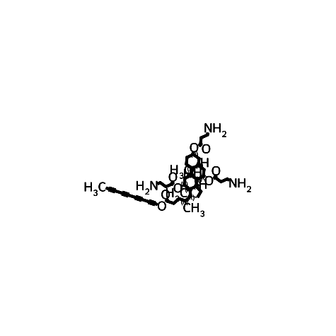 CC#CC#CC#CC#COC(=O)CC[C@@H](C)[C@H]1CC[C@H]2[C@@H]3[C@H](OC(=O)CCN)C[C@@H]4C[C@H](OC(=O)CCN)CC[C@]4(C)[C@H]3C[C@H](OC(=O)CCN)[C@]12C